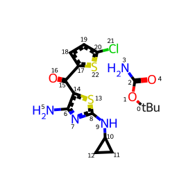 CC(C)(C)OC(N)=O.Nc1nc(NC2CC2)sc1C(=O)c1ccc(Cl)s1